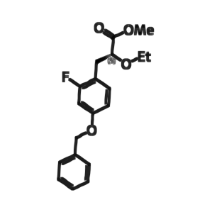 CCO[C@@H](Cc1ccc(OCc2ccccc2)cc1F)C(=O)OC